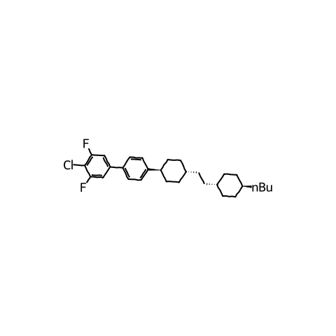 CCCC[C@H]1CC[C@H](CC[C@H]2CC[C@H](c3ccc(-c4cc(F)c(Cl)c(F)c4)cc3)CC2)CC1